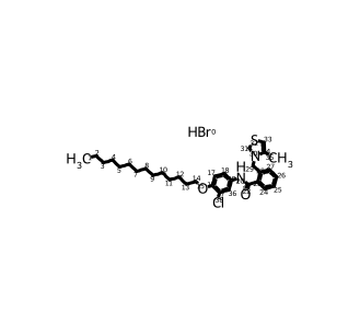 Br.CCCCCCCCCCCCCCOc1ccc(NC(=O)c2ccccc2CN2CSC=C2C)cc1Cl